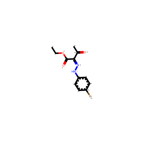 CCOC(=O)/C(=N\Nc1ccc(Br)cc1)C(C)=O